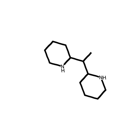 CC(C1CCCCN1)C1CCCCN1